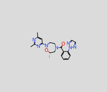 Cc1cc(N2CCN(C(=O)c3ccccc3-n3nccn3)C[C@H](C)O2)nc(C)n1